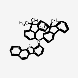 CC1(C)c2ccccc2-c2ccc(N(c3cccc4c3-c3ccccc3C4(C)C)c3cccc4c3sc3c5ccccc5ccc43)cc21